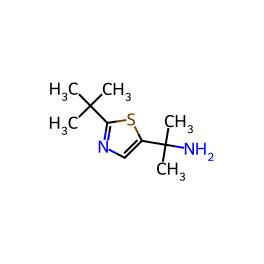 CC(C)(C)c1ncc(C(C)(C)N)s1